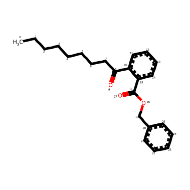 CCCCCCCCC(=O)c1ccccc1C(=O)OCc1ccccc1